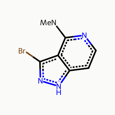 CNc1nccc2[nH]nc(Br)c12